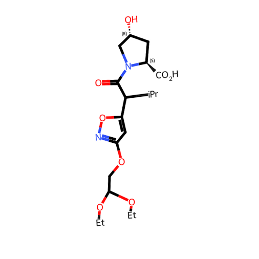 CCOC(COc1cc(C(C(=O)N2C[C@H](O)C[C@H]2C(=O)O)C(C)C)on1)OCC